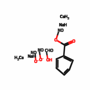 O=CO.O=NOC(=O)c1ccccc1.O=[NH+][O-].O=[NH+][O-].[CaH2].[CaH2].[NaH].[NaH]